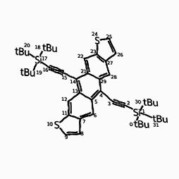 CC(C)(C)[Si](C#Cc1c2cc3ccsc3cc2c(C#C[Si](C(C)(C)C)(C(C)(C)C)C(C)(C)C)c2cc3sccc3cc12)(C(C)(C)C)C(C)(C)C